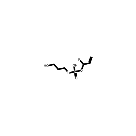 C=CC(F)OP(=O)(O)OCCCO